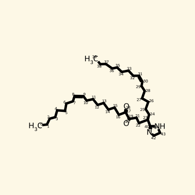 CCCCCCCC/C=C\CCCCCCCC(=O)C(=O)CCC(CCCCCC/C=C\CCCCCCCC)C1=NCCN1